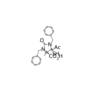 CC(=O)[C@@]1(S)N(Cc2ccccc2)C(=O)N(Cc2ccccc2)[C@]1(C)C(=O)O